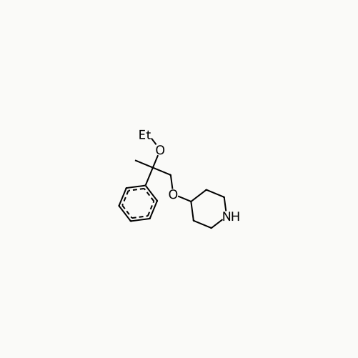 CCOC(C)(COC1CCNCC1)c1ccccc1